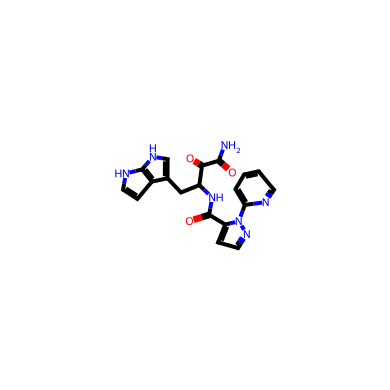 NC(=O)C(=O)C(Cc1c[nH]c2[nH]ccc12)NC(=O)c1ccnn1-c1ccccn1